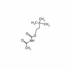 CC(=O)NC(=O)OCCC(C)(C)C